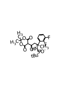 CC1(C)OC(=O)C(C(=O)C[C@](C)(N[S@+]([O-])C(C)(C)C)c2cccc(F)c2F)C(=O)O1